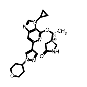 C[C@@H](Oc1nc(-c2cnn(C3CCOCC3)c2)cc2ncn(C3CC3)c12)[C@H]1CNC(=O)C1